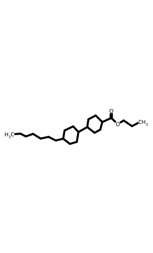 CCCCCCCC1CCC(C2CCC(C(=O)OCCC)CC2)CC1